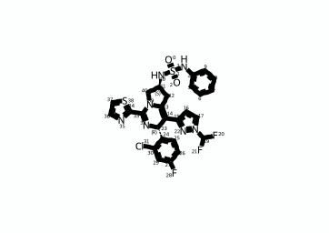 O=S(=O)(Nc1ccccc1)N[C@H]1CC2=C(c3ccn(C(F)F)n3)[C@H](c3ccc(F)cc3Cl)N=C(c3nccs3)N2C1